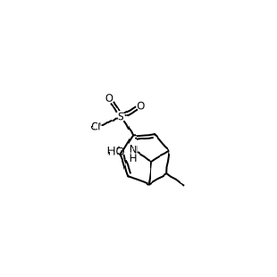 CC1C2C=CC(S(=O)(=O)Cl)=CC1C2NO